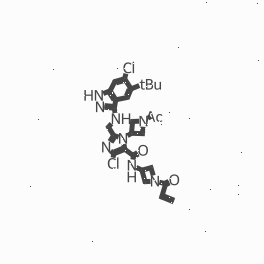 C=CC(=O)N1CC(NC(=O)c2c(Cl)nc(CNc3n[nH]c4cc(Cl)c(C(C)(C)C)cc34)n2C2CN(C(C)=O)C2)C1